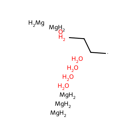 O.O.O.O.O.[CH2]CCC.[MgH2].[MgH2].[MgH2].[MgH2].[MgH2]